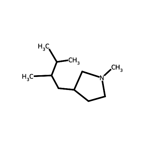 CC(C)C(C)CC1CCN(C)C1